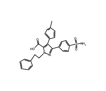 Cc1ccc(-c2c(-c3ccc(S(N)(=O)=O)cc3)nn(CCc3ccccc3)c2C(=O)O)cc1